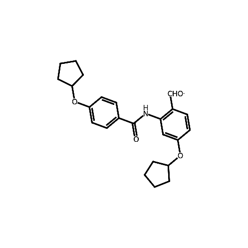 O=[C]c1ccc(OC2CCCC2)cc1NC(=O)c1ccc(OC2CCCC2)cc1